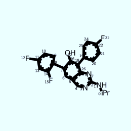 CC(C)Nc1ncc2cc(-c3ccc(F)cc3F)c(O)c(-c3ccc(F)cc3)c2n1